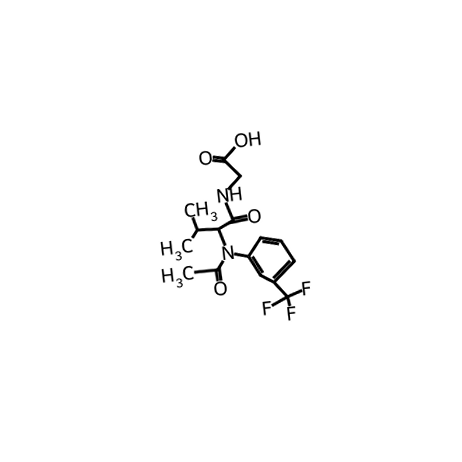 CC(=O)N(c1cccc(C(F)(F)F)c1)C(C(=O)NCC(=O)O)C(C)C